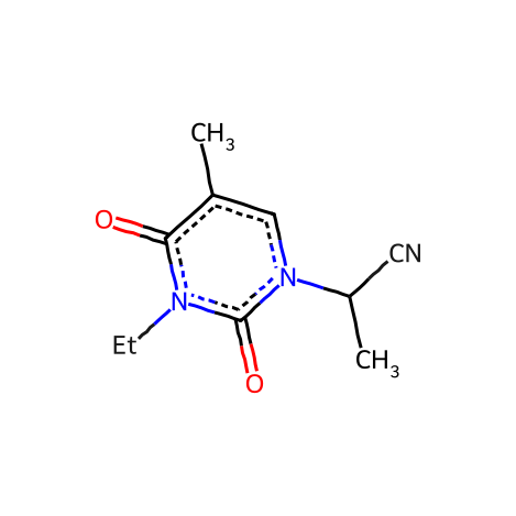 CCn1c(=O)c(C)cn(C(C)C#N)c1=O